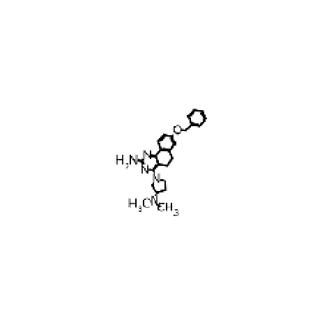 CN(C)[C@@H]1CCN(c2nc(N)nc3c2CCc2cc(OCc4ccccc4)ccc2-3)C1